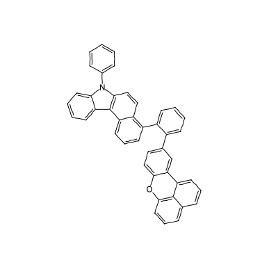 c1ccc(-n2c3ccccc3c3c4cccc(-c5ccccc5-c5ccc6c(c5)-c5cccc7cccc(c57)O6)c4ccc32)cc1